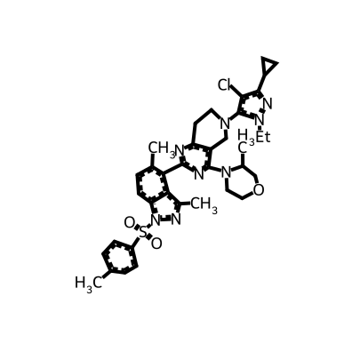 CCn1nc(C2CC2)c(Cl)c1N1CCc2nc(-c3c(C)ccc4c3c(C)nn4S(=O)(=O)c3ccc(C)cc3)nc(N3CCOCC3C)c2C1